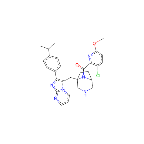 COc1ccc(Cl)c(C(=O)N2C3CCC2(Cc2c(-c4ccc(C(C)C)cc4)nc4ncccn24)CNC3)n1